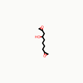 OC(CCCCC1CO1)CC1CO1